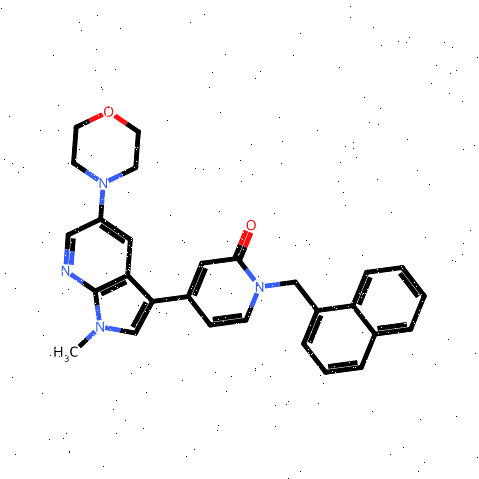 Cn1cc(-c2ccn(Cc3cccc4ccccc34)c(=O)c2)c2cc(N3CCOCC3)cnc21